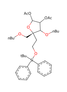 CCCCOC[C@@]1(CCO[Si](c2ccccc2)(c2ccccc2)C(C)(C)C)OC(OC(C)=O)C(OC(C)=O)C1OCCCC